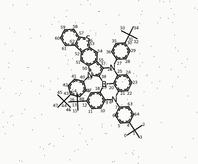 CC(C)(C)c1ccc(N2c3ccc(C(C)(C)C)cc3B3c4c2cccc4N(c2ccc(C(C)(C)C)cc2)c2c3n(-c3ccc(C(C)(C)C)cc3)c3cc4c(cc23)sc2ccccc24)cc1